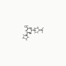 CN(C)C1CCN(c2nc(Cl)cc(N3CCCC3)n2)CC1